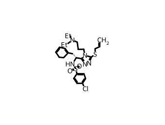 C=CCSc1nnc([C@@H](CC2=CC=CCC2)NS(=O)(=O)c2ccc(Cl)cc2)n1CCCN(CC)CC